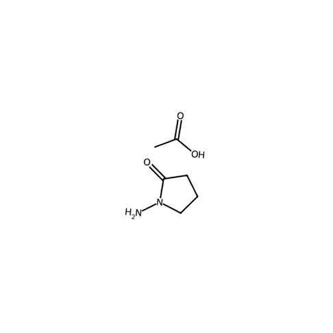 CC(=O)O.NN1CCCC1=O